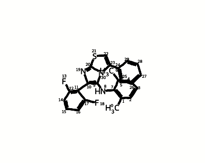 Cc1cccc(C)c1Nc1c(-c2c(F)cccc2F)nc2scc(-c3ccccc3)n12